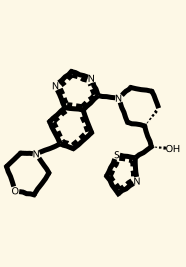 O[C@H](c1nccs1)[C@H]1CCCN(c2ncnc3cc(N4CCOCC4)ccc23)C1